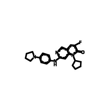 O=c1c(F)cc2cnc(Nc3ccc(N4CCCC4)cc3)cc2n1C1CCCC1